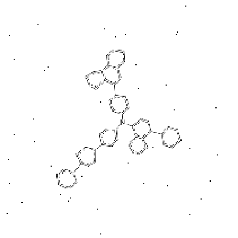 c1ccc(-c2ccc(-c3ccc(N(c4ccc(-c5cc6ccccc6c6ccccc56)cc4)c4ccc(-c5ccccc5)c5ccccc45)cc3)cc2)cc1